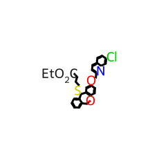 CCOC(=O)CCCSC1c2ccccc2COc2ccc(OCc3ccc4ccc(Cl)cc4n3)cc21